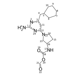 Nc1nc(CC2CCCCC2)cc(N2CCC(NC(=O)OC=O)C2)n1